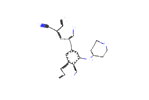 C=C/C=c1/cc(C(/C=C(/C#N)C=C)=C/N)cc(NC2CCNCC2)/c1=C/N